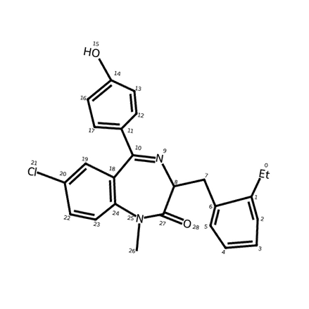 CCc1ccccc1CC1N=C(c2ccc(O)cc2)c2cc(Cl)ccc2N(C)C1=O